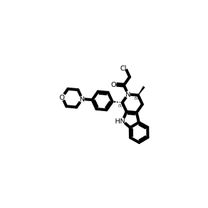 C[C@H]1Cc2c([nH]c3ccccc23)[C@H](c2ccc(N3CCOCC3)cc2)N1C(=O)CCl